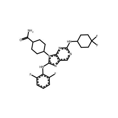 NC(=O)C1CCC(n2c(Nc3c(F)cccc3F)nc3cnc(NC4CCC(F)(F)CC4)nc32)CC1